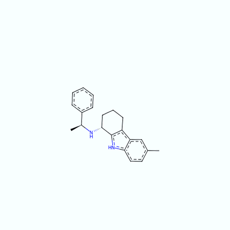 Cc1ccc2[nH]c3c(c2c1)CCC[C@H]3N[C@@H](C)c1ccccc1